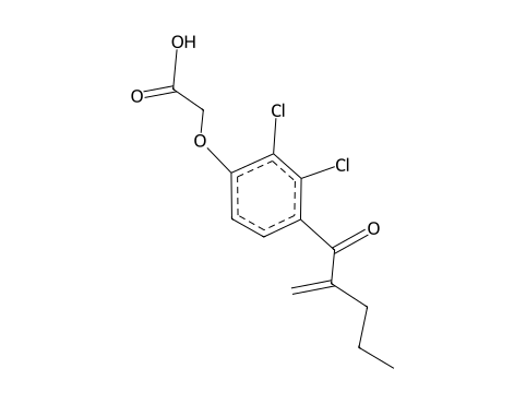 C=C(CCC)C(=O)c1ccc(OCC(=O)O)c(Cl)c1Cl